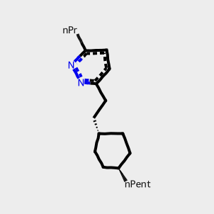 CCCCC[C@H]1CC[C@H](CCc2ccc(CCC)nn2)CC1